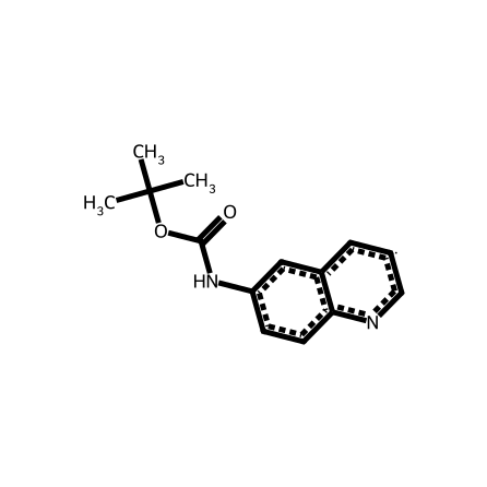 CC(C)(C)OC(=O)Nc1ccc2nc[c]cc2c1